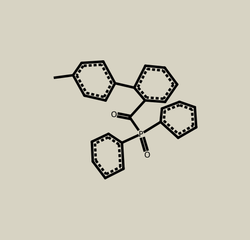 Cc1ccc(-c2ccccc2C(=O)P(=O)(c2ccccc2)c2ccccc2)cc1